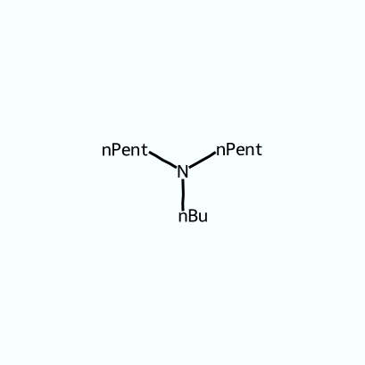 CCCCCN(CCCC)CCCCC